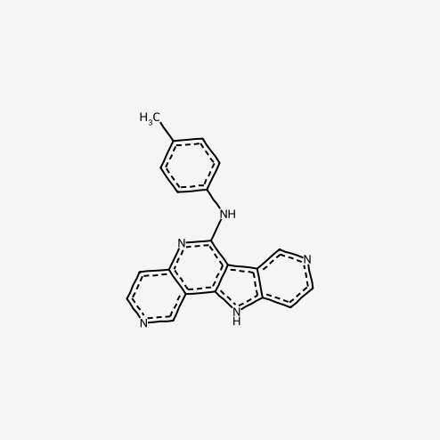 Cc1ccc(Nc2nc3ccncc3c3[nH]c4ccncc4c23)cc1